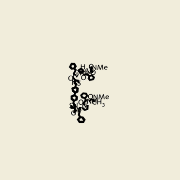 CN[C@@H](C)C(=O)N[C@H](C(=O)N1CCC[C@H]1CN(CCc1ccccc1)C(=O)c1csc(-c2ccc(-c3ccc(-c4nc(C(=O)N(CCc5ccccc5)C[C@@H]5CCCN5C(=O)[C@@H](NC(=O)[C@H](C)NC)C5CCCCC5)cs4)cc3)cc2)n1)C1CCCCC1